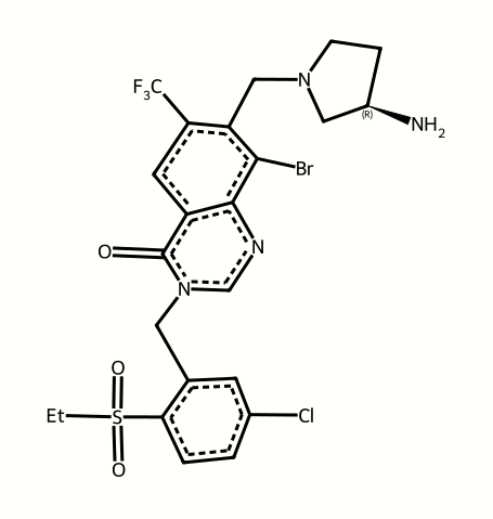 CCS(=O)(=O)c1ccc(Cl)cc1Cn1cnc2c(Br)c(CN3CC[C@@H](N)C3)c(C(F)(F)F)cc2c1=O